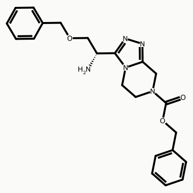 N[C@H](COCc1ccccc1)c1nnc2n1CCN(C(=O)OCc1ccccc1)C2